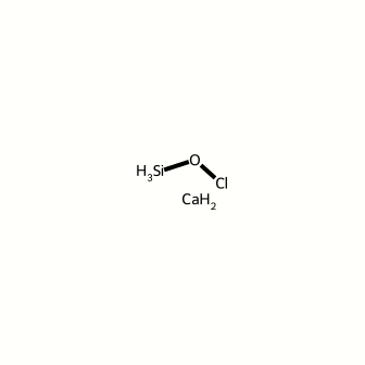 [CaH2].[SiH3]OCl